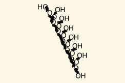 OCCOCC(COCC(COCC(COCC(COCC(COCC(COCCO)OCCO)OCCO)OCCO)OCCO)OCCO)OCCO